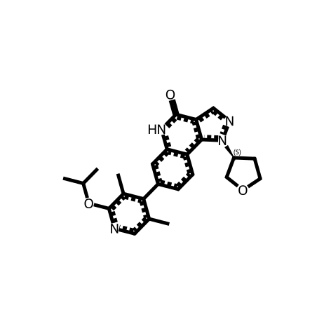 Cc1cnc(OC(C)C)c(C)c1-c1ccc2c(c1)[nH]c(=O)c1cnn([C@H]3CCOC3)c12